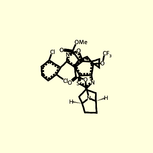 COC(=O)c1cc(OC(F)(F)F)c2nc(N3[C@@H]4CC[C@H]3CC(OC(=O)c3c(-c5c(Cl)cccc5Cl)noc3C3CC3)C4)sc2c1